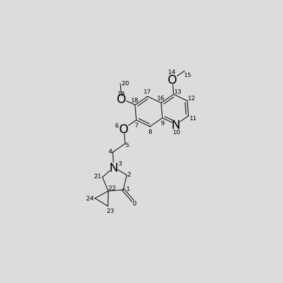 C=C1CN(CCOc2cc3nccc(OC)c3cc2OC)CC12CC2